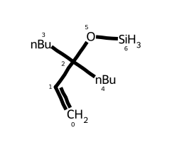 C=CC(CCCC)(CCCC)O[SiH3]